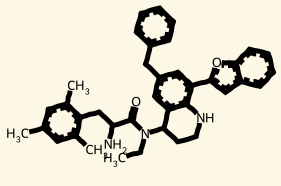 CCN(C(=O)C(N)Cc1c(C)cc(C)cc1C)C1CCNc2c(-c3cc4ccccc4o3)cc(Cc3ccccc3)cc21